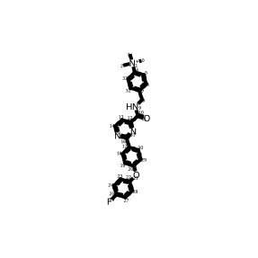 C[N+](C)(C)c1ccc(CNC(=O)c2ccnc(-c3ccc(Oc4ccc(F)cc4)cc3)n2)cc1